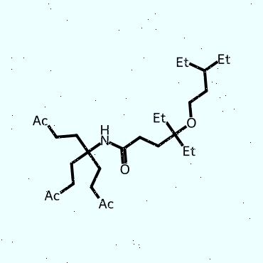 CCC(CC)CCOC(CC)(CC)CCC(=O)NC(CCC(C)=O)(CCC(C)=O)CCC(C)=O